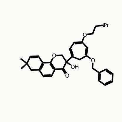 CC(C)CCOC1=CC=C(C2(O)COc3c(ccc4c3C=CC(C)(C)C4)C2=O)CC(OCc2ccccc2)=C1